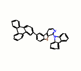 c1ccc2c(c1)c1ccccc1c1cc(-c3ccc4sc5c(-n6c7ccccc7c7ccccc76)nccc5c4c3)ccc21